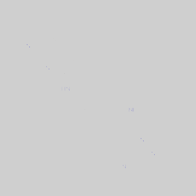 Cc1cnc(NC(=O)Nc2ccc3cc2CCc2cccc(c2)Nc2ncc(Cl)c(n2)N3)s1